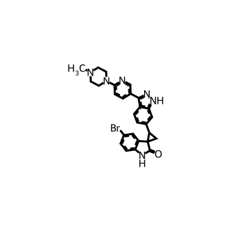 CN1CCN(c2ccc(-c3n[nH]c4cc(C5CC56C(=O)Nc5ccc(Br)cc56)ccc34)cn2)CC1